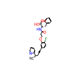 N#CC(CC#Cc1ccc(F)c(OCCC(=O)N[C@@H](Cc2ccccc2)B(O)O)c1)c1ccccn1